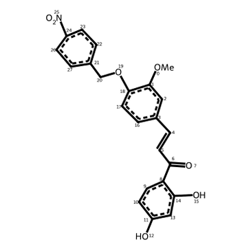 COc1cc(/C=C/C(=O)c2ccc(O)cc2O)ccc1OCc1ccc([N+](=O)[O-])cc1